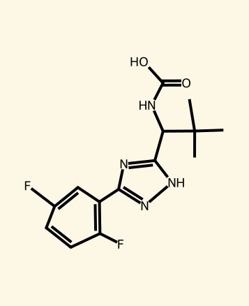 CC(C)(C)C(NC(=O)O)c1nc(-c2cc(F)ccc2F)n[nH]1